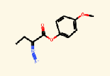 CCC(=[N+]=[N-])C(=O)Oc1ccc(OC)cc1